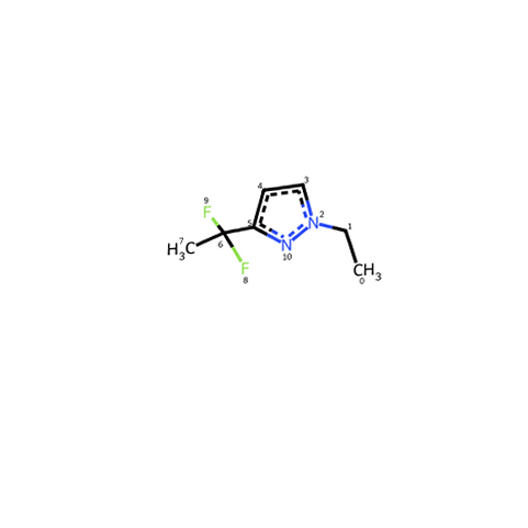 CCn1ccc(C(C)(F)F)n1